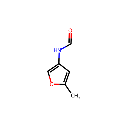 Cc1cc(NC=O)co1